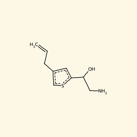 C=CCc1csc(C(O)CN)c1